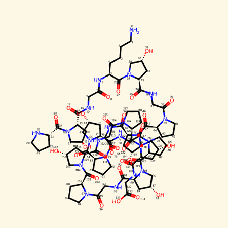 NCCCC[C@H](NC(=O)CNC(=O)[C@@H]1C[C@@H](O)CN1C(=O)[C@@H]1CCCN1)C(=O)N1C[C@H](O)C[C@H]1C(=O)NCC(=O)N1CCC[C@H]1C(=O)N1C[C@H](O)C[C@H]1C(=O)NCC(=O)N1CCC[C@H]1C(=O)N1C[C@H](O)C[C@H]1C(=O)NCC(=O)N1CCC[C@H]1C(=O)N1C[C@H](O)C[C@H]1C(=O)NCC(=O)N1CCC[C@H]1C(=O)N1C[C@H](O)C[C@H]1C(=O)NCC(=O)N1CCC[C@H]1C(=O)N1C[C@H](O)C[C@H]1C(=O)NCC(=O)O